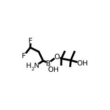 CC(C)(O)C(C)(C)OB(O)C(N)CC(F)F